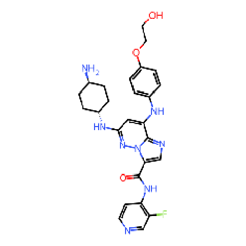 N[C@H]1CC[C@H](Nc2cc(Nc3ccc(OCCO)cc3)c3ncc(C(=O)Nc4ccncc4F)n3n2)CC1